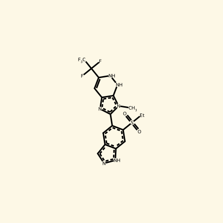 CCS(=O)(=O)c1cc2[nH]ncc2cc1-c1nc2c(n1C)NNC(C(F)(F)C(F)(F)F)=C2